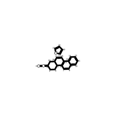 O=C=C1CCC2c3ccc4ccccc4c3C=CC2C1.c1ccoc1